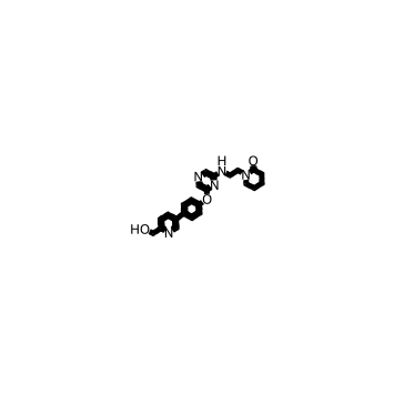 O=C1CCCCN1CCNc1cncc(Oc2ccc(-c3ccc(CO)nc3)cc2)n1